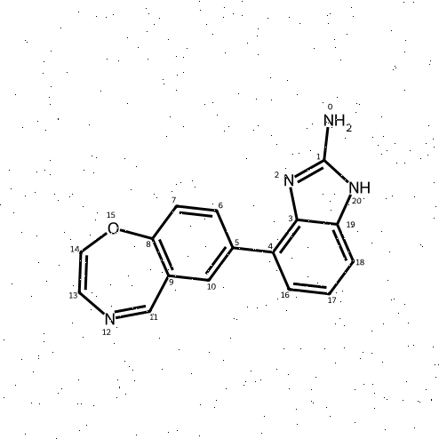 Nc1nc2c(-c3ccc4c(c3)C=NC=CO4)cccc2[nH]1